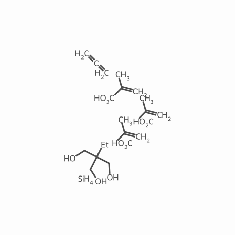 C=C(C)C(=O)O.C=C(C)C(=O)O.C=C(C)C(=O)O.C=C=C.CCC(CO)(CO)CO.[SiH4]